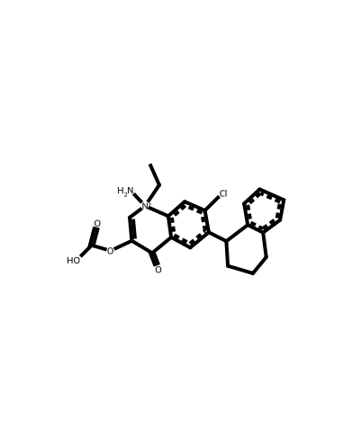 CC[N+]1(N)C=C(OC(=O)O)C(=O)c2cc(C3CCCc4ccccc43)c(Cl)cc21